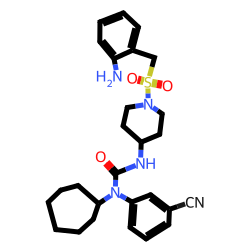 N#Cc1cccc(N(C(=O)NC2CCN(S(=O)(=O)Cc3ccccc3N)CC2)C2CCCCCC2)c1